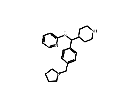 c1ccc(NC(c2ccc(CN3CCCC3)cc2)C2CCNCC2)nc1